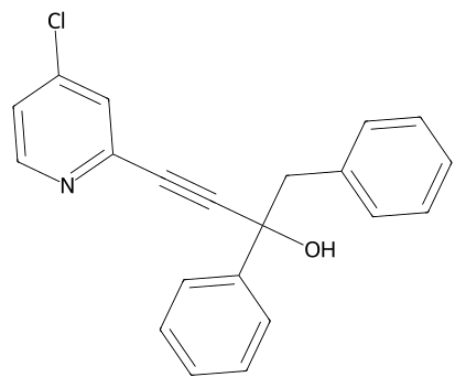 OC(C#Cc1cc(Cl)ccn1)(Cc1ccccc1)c1ccccc1